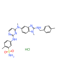 Cc1ccc(CNc2nc3cc(N(C)c4ccnc(Nc5ccc(C)c(S(N)(=O)=O)c5)n4)ccc3n2C)cc1.Cl